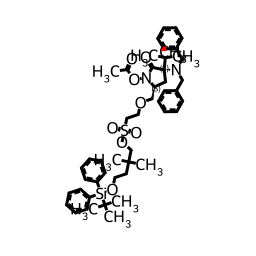 CC(=O)ON1C(=O)[C@@](N(Cc2ccccc2)Cc2ccccc2)(C(C)(C)C)C[C@H]1COCCS(=O)(=O)OCC(C)(C)CCO[Si](c1ccccc1)(c1ccccc1)C(C)(C)C